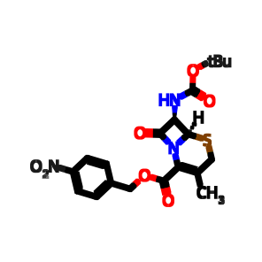 CC1=C(C(=O)OCc2ccc([N+](=O)[O-])cc2)N2C(=O)[C@@H](NC(=O)OC(C)(C)C)[C@H]2SC1